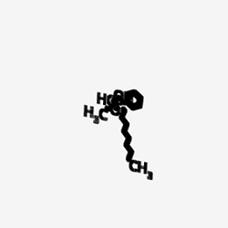 CCCCCCCCCP(O)(O)(OCC)c1ccccc1